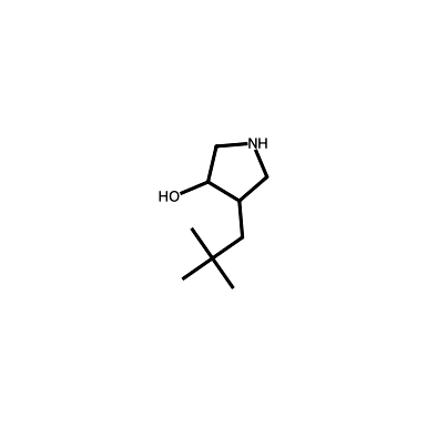 CC(C)(C)CC1CNCC1O